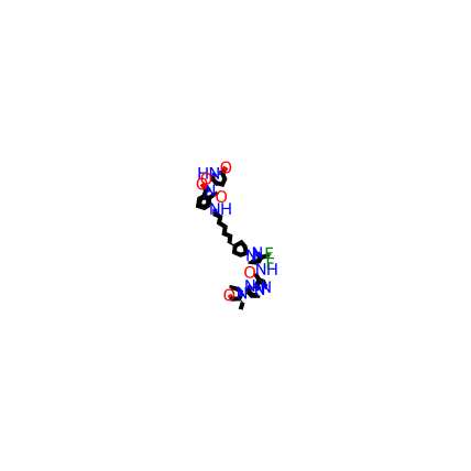 CC[C@@H]1COCCN1c1ccn2ncc(C(=O)Nc3cn([C@H]4CC[C@H](CCCCCCCNc5cccc6c5C(=O)N(C5CCC(=O)NC5=O)C6=O)CC4)nc3C(F)F)c2n1